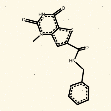 Cn1c(=O)[nH]c(=O)c2sc(C(=O)NCc3ccccc3)cc21